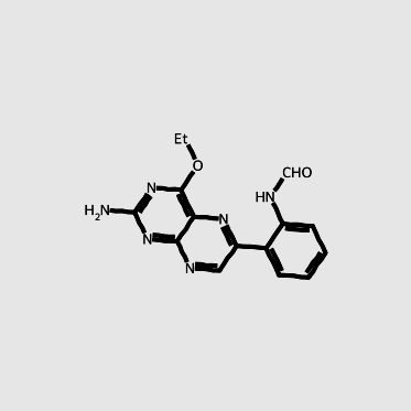 CCOc1nc(N)nc2ncc(-c3ccccc3NC=O)nc12